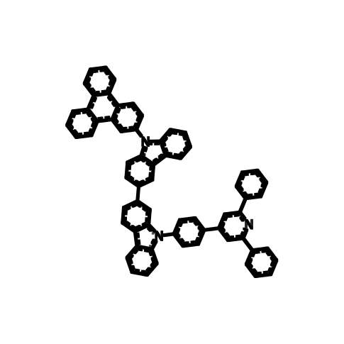 c1ccc(-c2cc(-c3ccc(-n4c5ccccc5c5ccc(-c6ccc7c(c6)c6ccccc6n7-c6ccc7c8ccccc8c8ccccc8c7c6)cc54)cc3)cc(-c3ccccc3)n2)cc1